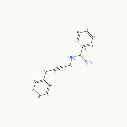 NC(NCC#CCc1ccccc1)c1ccccc1